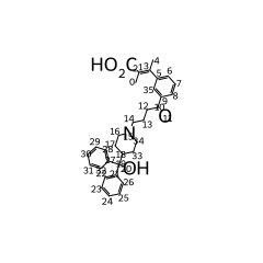 CC(C(=O)O)=C(C)c1cccc(C(=O)CCCN2CCC(C(O)(c3ccccc3)c3ccccc3)CC2)c1